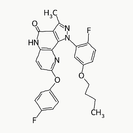 CCCCOc1ccc(F)c(-n2nc(C)c3c(=O)[nH]c4ccc(Oc5ccc(F)cc5)nc4c32)c1